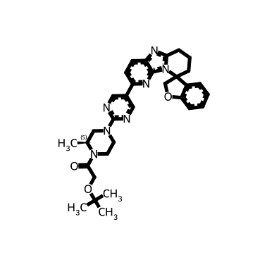 C[C@H]1CN(c2ncc(-c3ccc4nc5n(c4n3)C3(CCC5)COc4ccccc43)cn2)CCN1C(=O)COC(C)(C)C